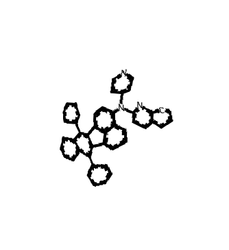 c1ccc(-c2c3c(c(-c4ccccc4)c4ccccc24)-c2ccc(N(c4ccncc4)c4ccc5ccccc5n4)c4cccc-3c24)cc1